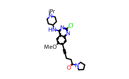 COc1cc2c(NC3CCN(C(C)C)CC3)nc(Cl)nc2cc1C#CCCC(=O)N1CCCC1